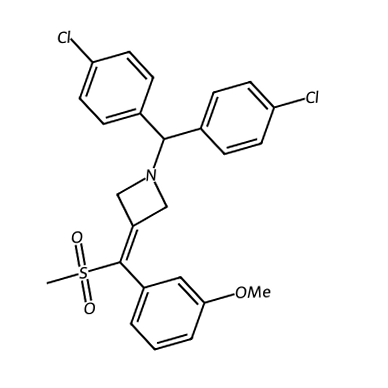 COc1cccc(C(=C2CN(C(c3ccc(Cl)cc3)c3ccc(Cl)cc3)C2)S(C)(=O)=O)c1